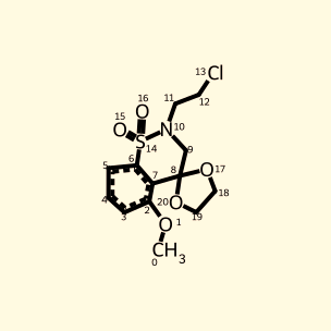 COc1cccc2c1C1(CN(CCCl)S2(=O)=O)OCCO1